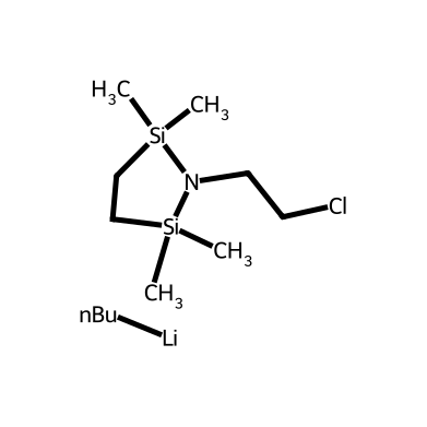 C[Si]1(C)CC[Si](C)(C)N1CCCl.[Li][CH2]CCC